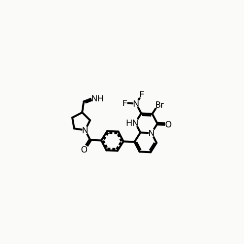 N=CC1CCN(C(=O)c2ccc(C3=CC=CN4C(=O)C(Br)=C(N(F)F)NC34)cc2)C1